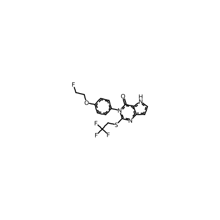 O=c1c2[nH]ccc2nc(SCC(F)(F)F)n1-c1ccc(OCCF)cc1